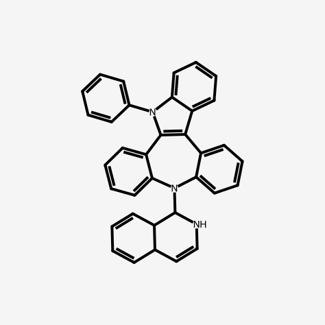 C1=CC2C=CNC(N3c4ccccc4-c4c(n(-c5ccccc5)c5ccccc45)-c4ccccc43)C2C=C1